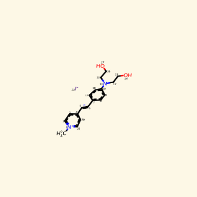 C[n+]1ccc(/C=C/c2ccc(N(CCO)CCO)cc2)cc1.[I-]